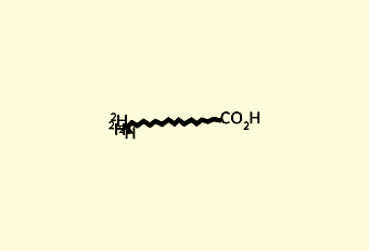 [2H]C([2H])([2H])CCCCCCCCCCCCCCCCC(=O)O